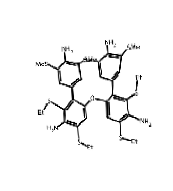 CCSc1cc(Oc2cc(SCC)c(N)c(SCC)c2-c2cc(SC)c(N)c(SC)c2)c(-c2cc(SC)c(N)c(SC)c2)c(SCC)c1N